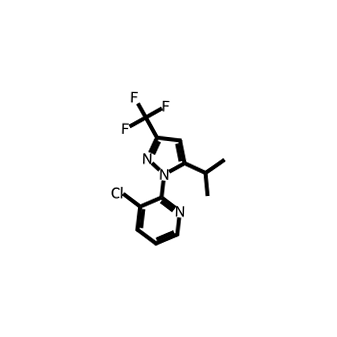 CC(C)c1cc(C(F)(F)F)nn1-c1ncccc1Cl